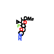 COC(=O)C(C)C(c1ccc2c(c1F)OC1(CCNCC1)CC2)C1CC1